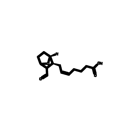 O=CC1C2CC[C@@H](O2)[C@H]1C/C=C\CCCC(=O)O